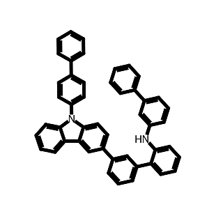 c1ccc(-c2ccc(-n3c4ccccc4c4cc(-c5cccc(-c6ccccc6Nc6cccc(-c7ccccc7)c6)c5)ccc43)cc2)cc1